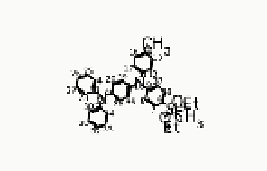 CCO[Si](C)(OCC)c1ccc(N(c2ccc(C)cc2)c2ccc(N(c3ccccc3)c3ccccc3)cc2)cc1